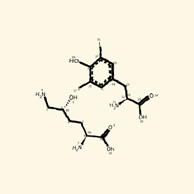 NC[C@H](O)CC[C@H](N)C(=O)O.N[C@@H](Cc1cc(I)c(O)c(I)c1)C(=O)O